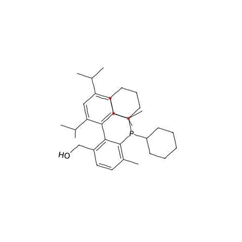 Cc1ccc(CO)c(-c2c(C(C)C)cc(C(C)C)cc2C(C)C)c1P(C1CCCCC1)C1CCCCC1